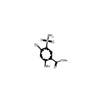 CCCCc1cc(CC)c(S(N)(=O)=O)cc1C(=O)OC